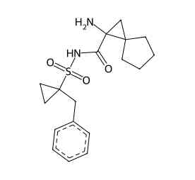 NC1(C(=O)NS(=O)(=O)C2(Cc3ccccc3)CC2)CC12CCCC2